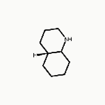 C1CC[C@@H]2CCCNC2C1